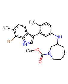 CC(C)(C)OC(=O)N1CCCCC(Nc2ccc(C(F)(F)F)c(-c3c[nH]c4c(Br)c(C#N)ccc34)c2)C1